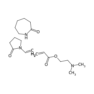 C=CC(=O)OCCN(C)C.C=CN1CCCC1=O.O=C1CCCCCN1